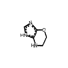 c1nc2c([nH]1)NCCO2